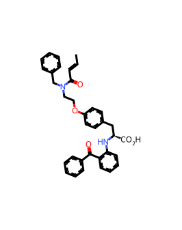 C/C=C/C(=O)N(CCOc1ccc(C[C@H](Nc2ccccc2C(=O)c2ccccc2)C(=O)O)cc1)Cc1ccccc1